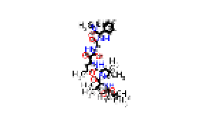 CCCC(NC(=O)[C@@H]1CC(C)(C)CN1C(=O)[C@@H](NC(=O)OC(C)(C)C)C(C)(C)C)C(=O)C(=O)NCC(=O)N[C@H](C(=O)N(C)C)c1ccccc1